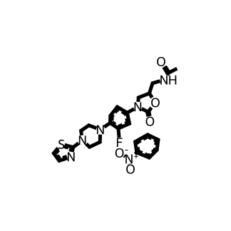 CC(=O)NCC1CN(c2ccc(N3CCN(c4nccs4)CC3)c(F)c2)C(=O)O1.O=[N+]([O-])c1ccccc1